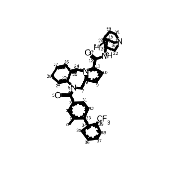 Cc1cc(C(=O)N2Cc3ccc(C(=O)N[C@H]4CN5CCC4CC5)n3C=C3C=CCC=C32)ccc1-c1ccccc1C(F)(F)F